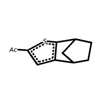 CC(=O)c1cc2c(s1)C1CCC2C1